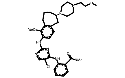 CNC(=O)c1ccccc1Nc1nc(Nc2ccc3c(c2OC)CCC[C@H](N2CCN(CCOI)CC2)C3)ncc1Cl